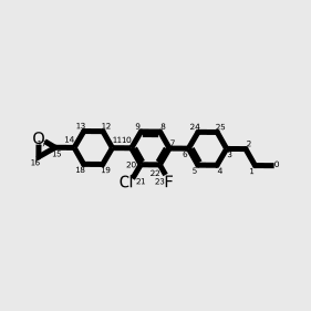 CCCC1CC=C(c2ccc(C3CCC(C4CO4)CC3)c(Cl)c2F)CC1